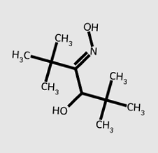 CC(C)(C)/C(=N\O)C(O)C(C)(C)C